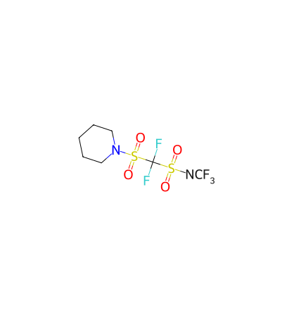 O=S(=O)(NC(F)(F)F)C(F)(F)S(=O)(=O)N1CCCCC1